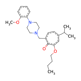 CCCCOc1cc(C(C)C)ccc(CN2CCN(c3ccccc3OC)CC2)c1=O